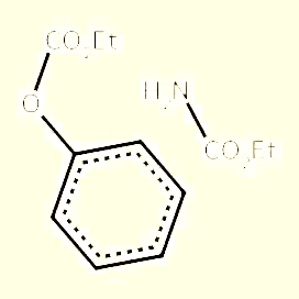 CCOC(=O)Oc1ccccc1.CCOC(N)=O